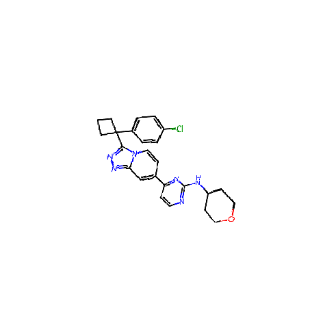 Clc1ccc(C2(c3nnc4cc(-c5ccnc(NC6CCOCC6)n5)ccn34)CCC2)cc1